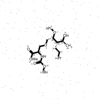 CCCO[C@@H](COCC(NC(=O)OC(C)(C)C)C(=O)OC)[C@@H](CCC(C)C)[C@H](C)O